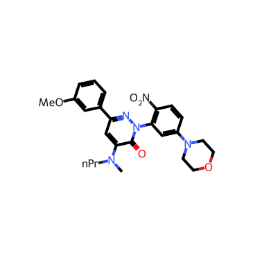 CCCN(C)c1cc(-c2cccc(OC)c2)nn(-c2cc(N3CCOCC3)ccc2[N+](=O)[O-])c1=O